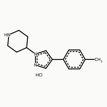 Cc1ccc(-c2cnn(C3CCNCC3)c2)cc1.Cl